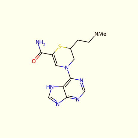 CNCCC1CN(c2ncnc3nc[nH]c23)C=C(C(N)=O)S1